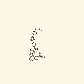 CCCNc1ccc(C(C)C)c(N2C(=O)CS/C2=N\C(=O)Nc2ccc(-c3ncn(-c4ccc(OC(F)(F)F)cc4)n3)cc2C)c1